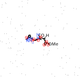 CC(=O)O.COC(=O)C[C@@H]1C[C@]2(CO2)C[C@@H](C=CC(C)=CC[C@@H]2O[C@H](C)[C@H](NC(=O)C=C[C@H](C)OC(=O)CCc3ccccc3NC(=O)[C@H](C)N)C[C@@H]2C)O1